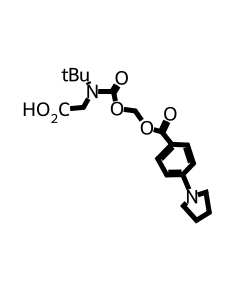 CC(C)(C)N(CC(=O)O)C(=O)OCOC(=O)c1ccc(N2CCCC2)cc1